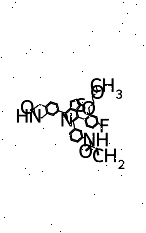 C=CC(=O)Nc1cccc(-c2nc(-c3ccc4c(c3)CNC(=O)C4)c3ccsc3c2-c2ccc(F)cc2OCCOC)c1